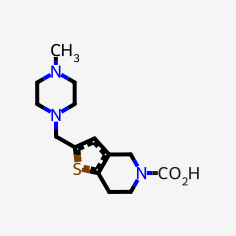 CN1CCN(Cc2cc3c(s2)CCN(C(=O)O)C3)CC1